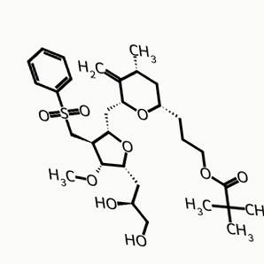 C=C1[C@H](C)C[C@H](CCCOC(=O)C(C)(C)C)O[C@@H]1C[C@@H]1O[C@H](C[C@H](O)CO)[C@H](OC)[C@H]1CS(=O)(=O)c1ccccc1